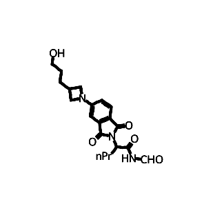 CCCC(C(=O)NC=O)N1C(=O)c2ccc(N3CC(CCCO)C3)cc2C1=O